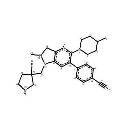 CC1CCN(c2nc3c(cc2-c2ccc(C#N)cc2)N(CC2(F)CCNC2)N(C)C3)CC1